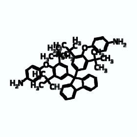 CC(C)(C)c1cc(C2(c3cc(C(C)(C)C)c(Oc4ccc(N)cc4)c(C(C)(C)C)c3)c3ccccc3-c3ccccc32)cc(C(C)(C)C)c1Oc1ccc(N)cc1